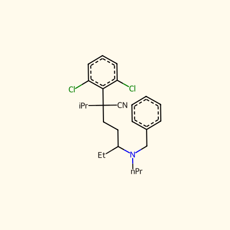 CCCN(Cc1ccccc1)C(CC)CCC(C#N)(c1c(Cl)cccc1Cl)C(C)C